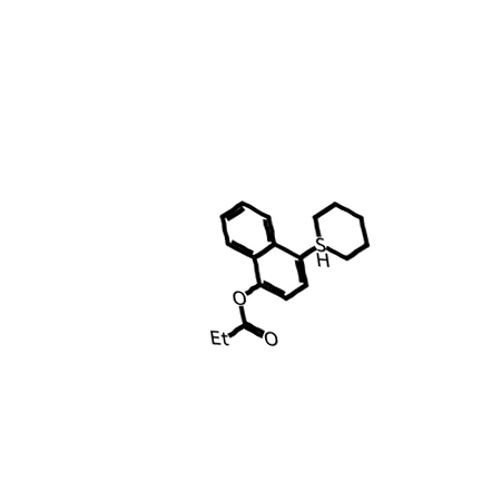 CCC(=O)Oc1ccc([SH]2CCCCC2)c2ccccc12